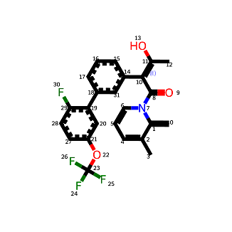 C=C1C(C)=CC=CN1C(=O)/C(=C(\C)O)c1cccc(-c2cc(OC(F)(F)F)ccc2F)c1